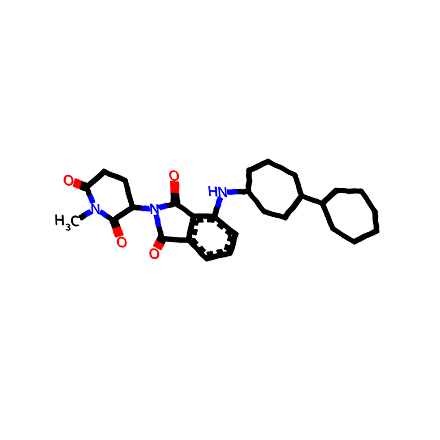 CN1C(=O)CCC(N2C(=O)c3cccc(NC4CCCC(C5CCCCCC5)CC4)c3C2=O)C1=O